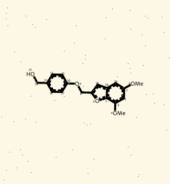 COc1cc(OC)c2oc(COc3ccc(CO)cc3)cc2c1